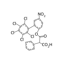 O=C(O)C(C(=O)Oc1ccc([N+](=O)[O-])cc1-c1c(Cl)c(Cl)c(Cl)c(Cl)c1Cl)c1ccccc1